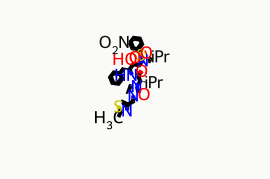 Cc1nc(CN2CCN([C@H](C(=O)N[C@@H](Cc3ccccc3)[C@H](O)CN(CC(C)C)S(=O)(=O)c3cccc([N+](=O)[O-])c3)C(C)C)C2=O)cs1